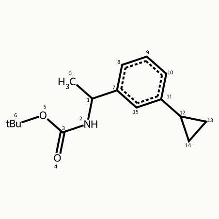 CC(NC(=O)OC(C)(C)C)c1cccc(C2CC2)c1